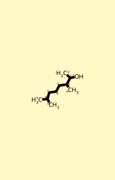 [CH2]C(O)C(C)CCCC(C)C